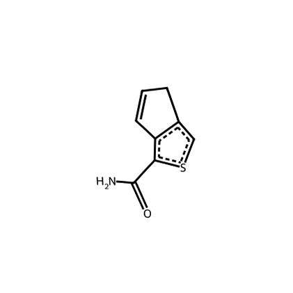 NC(=O)c1scc2c1C=CC2